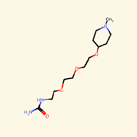 CN1CCC(OCCOCCOCCNC(N)=O)CC1